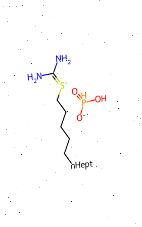 CCCCCCCCCCCC[S+]=C(N)N.O=[PH]([O-])O